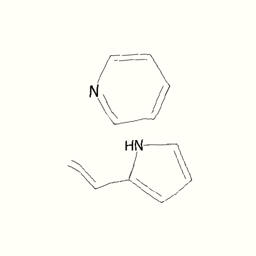 C=Cc1ccc[nH]1.c1ccncc1